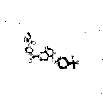 C=CS(=O)(=O)N1CC[C@H](C(=O)N2CCc3c(ncnc3Oc3ccc(C(F)(F)F)cc3)C2)C1